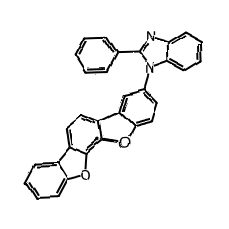 c1ccc(-c2nc3ccccc3n2-c2ccc3oc4c(ccc5c6ccccc6oc54)c3c2)cc1